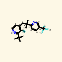 CC(C)(C)c1nccc(CC(C)(C)c2ccc(C(F)(F)F)cn2)c1F